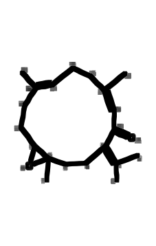 CC(C)=C1CCC2(C)OC2CC/C(C)=C/CC/C(C)=C\C1=O